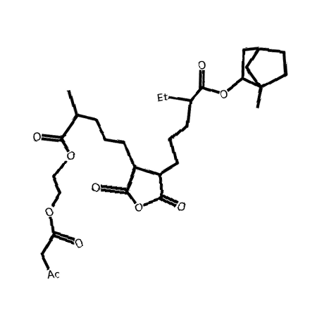 CCC(CCCC1C(=O)OC(=O)C1CCCC(C)C(=O)OCCOC(=O)CC(C)=O)C(=O)OC1CC2CCC1(C)C2